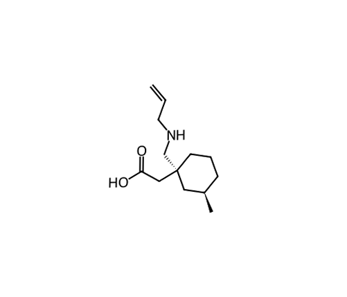 C=CCNC[C@]1(CC(=O)O)CCC[C@@H](C)C1